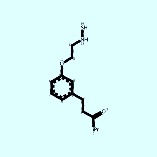 CC(C)C(=O)CCc1cccc(OCCNS)c1